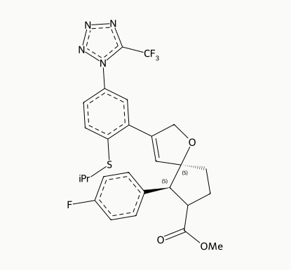 COC(=O)C1CC[C@@]2(C=C(c3cc(-n4nnnc4C(F)(F)F)ccc3SC(C)C)CO2)[C@@H]1c1ccc(F)cc1